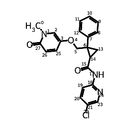 Cn1cc(OCC2(c3ccccc3)CC2C(=O)Nc2ccc(Cl)cn2)ccc1=O